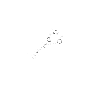 CC(C)(C)OC(=O)NCCNC(=O)Nc1ccc2cc1CCc1cccc(c1)Nc1ncc(Cl)c(n1)N2